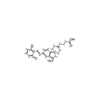 Cl.O=C(O)CCCN1CCC2(CC1)COc1cc(C=Cc3c(Cl)cccc3Cl)ccc12